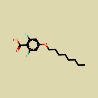 CCCCCCCCOc1cc(F)c(C(=O)O)c(F)c1